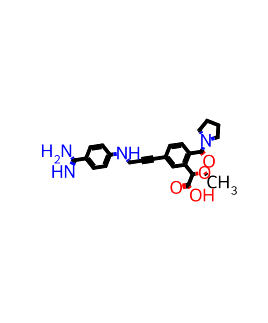 COC(C(=O)O)c1cc(C#CCNc2ccc(C(=N)N)cc2)ccc1C(=O)N1CCCC1